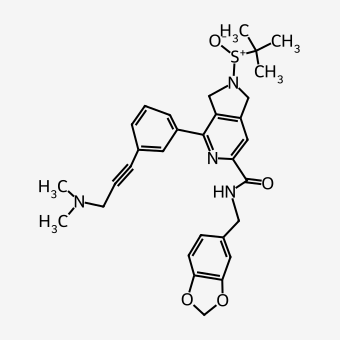 CN(C)CC#Cc1cccc(-c2nc(C(=O)NCc3ccc4c(c3)OCO4)cc3c2CN([S+]([O-])C(C)(C)C)C3)c1